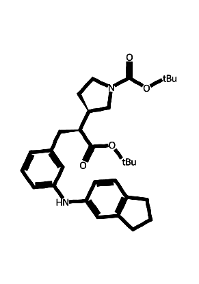 CC(C)(C)OC(=O)[C@@H](Cc1cccc(Nc2ccc3c(c2)CCC3)c1)[C@H]1CCN(C(=O)OC(C)(C)C)C1